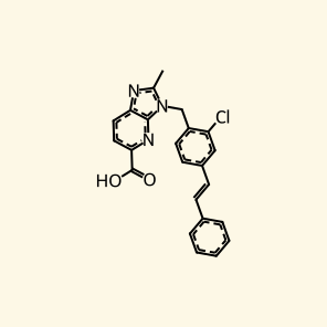 Cc1nc2ccc(C(=O)O)nc2n1Cc1ccc(C=Cc2ccccc2)cc1Cl